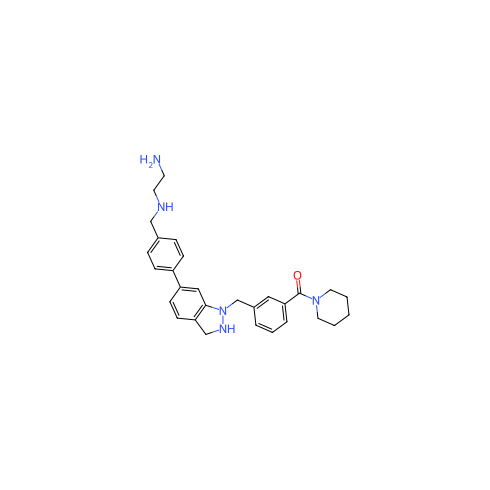 NCCNCc1ccc(-c2ccc3c(c2)N(Cc2cccc(C(=O)N4CCCCC4)c2)NC3)cc1